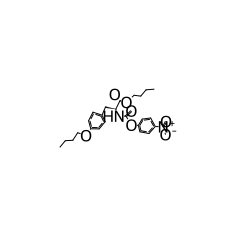 CCCCOC(=O)[C@H](Cc1ccc(OCCCC)cc1)NC(=O)Oc1ccc([N+](=O)[O-])cc1